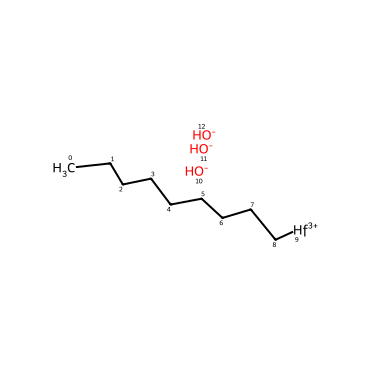 CCCCCCCC[CH2][Hf+3].[OH-].[OH-].[OH-]